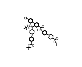 CCOC(=O)C1CCN(c2ccc(NC(=O)c3ccc(-c4ccc(Cl)cc4)c([C@H](O[Si](C)(C)C(C)(C)C)C4CCN(c5ccc(C(=O)OC(C)(C)C)cc5)CC4)c3)cc2)CC1